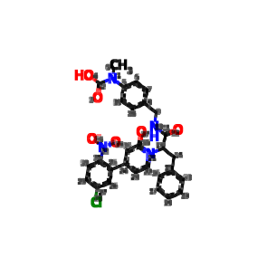 CN(C(=O)O)c1ccc(CNC(=O)C(Cc2ccccc2)n2ccc(-c3cc(Cl)ccc3[N+](=O)[O-])cc2=O)cc1